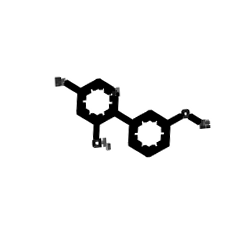 CCOc1cccc(-c2ncc(Br)cc2C)c1